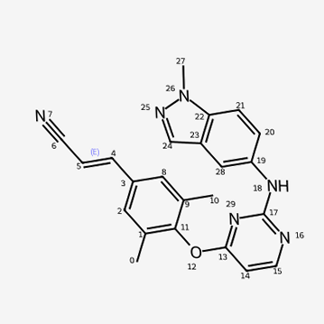 Cc1cc(/C=C/C#N)cc(C)c1Oc1ccnc(Nc2ccc3c(cnn3C)c2)n1